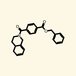 O=C(OCc1ccccc1)c1ccc(C(=O)N2CCC3CC=CC=C3C2)cc1